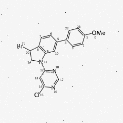 COc1ccc(-c2ccc3c(c2)N(c2cc(Cl)ncn2)CC3Br)cc1